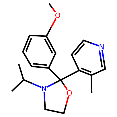 COc1cccc(C2(c3ccncc3C)OCCN2C(C)C)c1